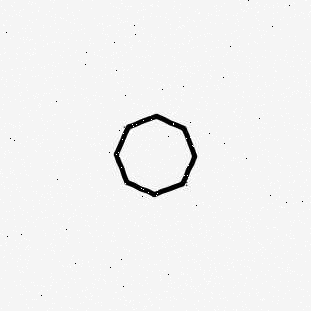 [C]1CCC[CH]CCC1